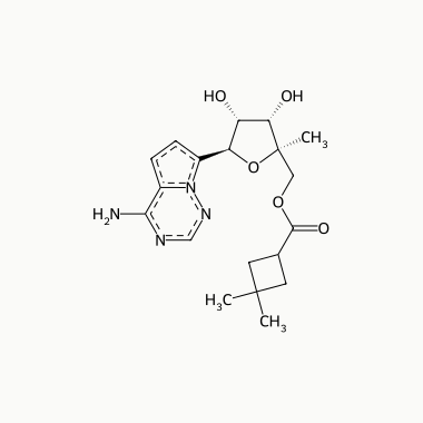 CC1(C)CC(C(=O)OC[C@@]2(C)O[C@@H](c3ccc4c(N)ncnn34)[C@H](O)[C@@H]2O)C1